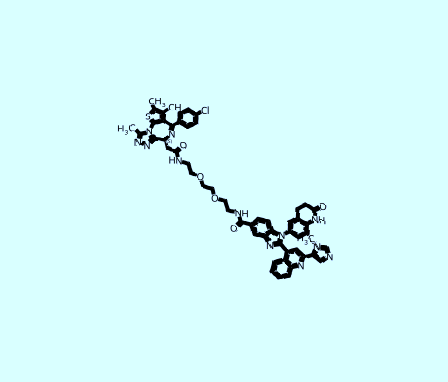 Cc1sc2c(c1C)C(c1ccc(Cl)cc1)=N[C@@H](CC(=O)NCCOCCOCCNC(=O)c1ccc3c(c1)nc(-c1cc(-c4cncn4C)nc4ccccc14)n3-c1ccc3c(c1)CCC(=O)N3)c1nnc(C)n1-2